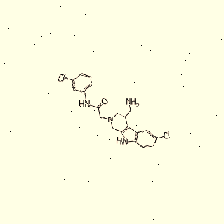 NCC1CN(CC(=O)Nc2cccc(Cl)c2)Cc2[nH]c3ccc(Cl)cc3c21